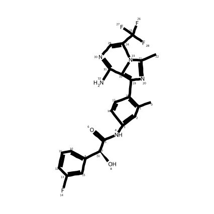 Cc1cc(NC(=O)[C@@H](O)c2cccc(F)c2)ccc1-c1nc(C)n2c(C(F)(F)F)cnc(N)c12